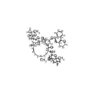 CC[C@@H]1C[C@H](C)CC/C=C\[C@@H]2C[C@@]2(C(=O)NS(=O)(=O)C2(C)CC2)NC(=O)[C@@H]2C[C@@H](Oc3nc4c(c5ccccc35)OCCC4)CN2C(=O)[C@H]1NC(=O)OC(C)(C)C(F)(F)F